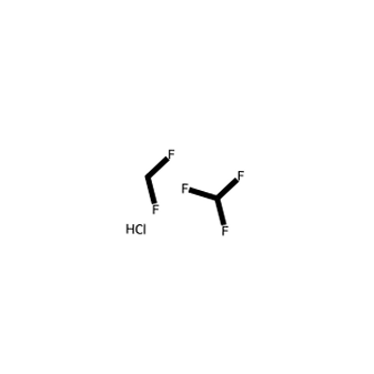 Cl.FC(F)F.FCF